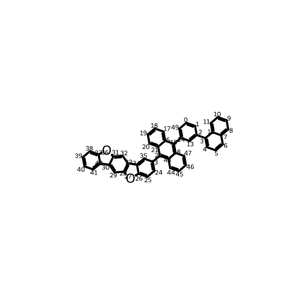 c1cc(-c2cccc3ccccc23)cc(-c2c3ccccc3c(-c3ccc4oc5cc6c(cc5c4c3)oc3ccccc36)c3ccccc23)c1